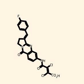 O=C(O)C(Cl)=C(Cl)C(=O)Nc1ccc2c(=O)n3c(nc2c1)C(=Cc1ccc(F)cc1)CC3